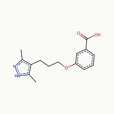 Cc1n[nH]c(C)c1CCCOc1cccc(C(=O)O)c1